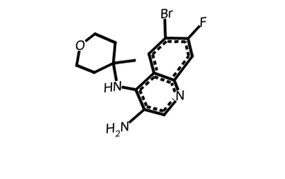 CC1(Nc2c(N)cnc3cc(F)c(Br)cc23)CCOCC1